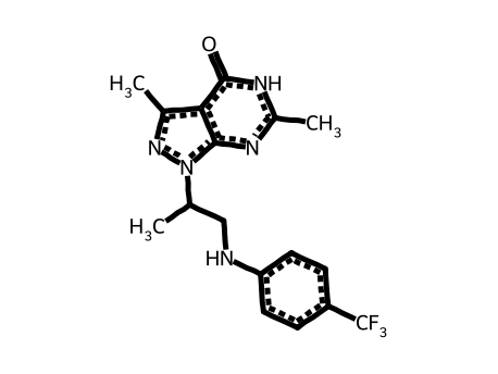 Cc1nc2c(c(C)nn2C(C)CNc2ccc(C(F)(F)F)cc2)c(=O)[nH]1